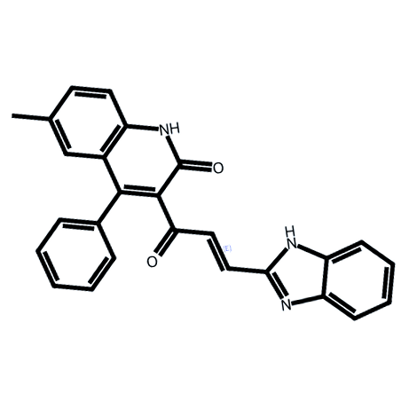 Cc1ccc2[nH]c(=O)c(C(=O)/C=C/c3nc4ccccc4[nH]3)c(-c3ccccc3)c2c1